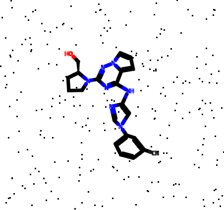 N#Cc1cccc(-n2cnc(Nc3nc(N4CCC[C@H]4CO)nn4cccc34)c2)c1